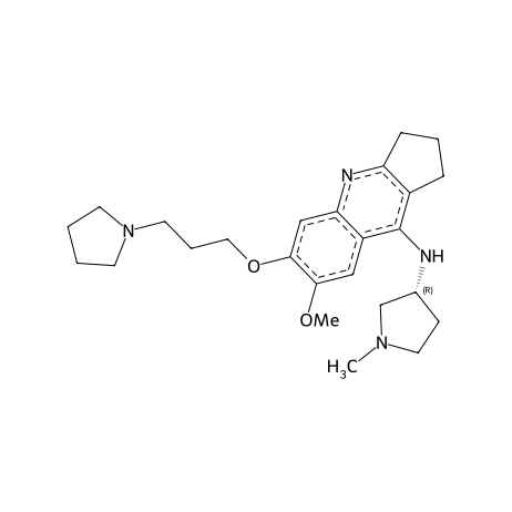 COc1cc2c(N[C@@H]3CCN(C)C3)c3c(nc2cc1OCCCN1CCCC1)CCC3